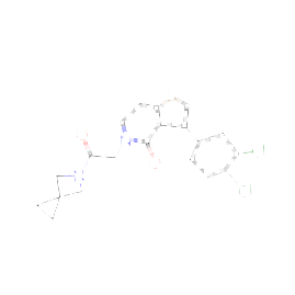 O=C(Cn1ccc2scc(-c3ccc(Cl)c(Cl)c3)c2c1=O)N1CC2(CC2)C1